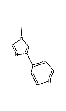 Cn1cnc(-c2[c]cncc2)c1